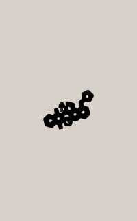 Cc1c2c(c(C)c3ccccc13)-c1c3c(cc4cccc(CC5CCCC5)c4c3cc[n+]1C)O2